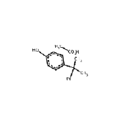 CC(=O)O.CCC(C)(C)c1ccc(O)cc1